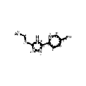 CC(=O)CSc1nnc(-c2ccc(F)cn2)[nH]1